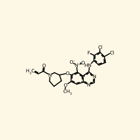 C=CC(=O)N1CCCC(Oc2c(OC)cc3ncnc(Nc4ccc(Cl)c(Cl)c4F)c3c2[N+](=O)[O-])C1